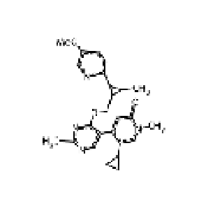 COc1ccc(C2C(C)C2COc2nc(C)ncc2-c2cc(=O)n(C)cc2C2CC2)nc1